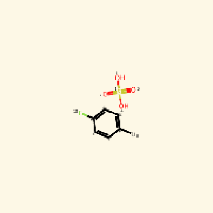 O=S(=O)(O)O.[Li][c]1ccc(F)cc1